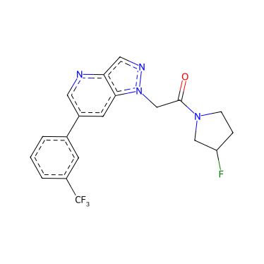 O=C(Cn1ncc2ncc(-c3cccc(C(F)(F)F)c3)cc21)N1CCC(F)C1